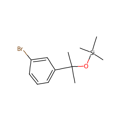 CC(C)(O[Si](C)(C)C)c1cccc(Br)c1